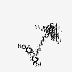 C[Si](C)(C)O[Si](C)(C)O[Si](C)(CCCCCCCCCCC(c1ccc(O)cc1)c1ccc(O)cc1)O[Si](C)(C)C